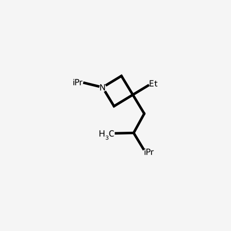 CCC1(CC(C)C(C)C)CN(C(C)C)C1